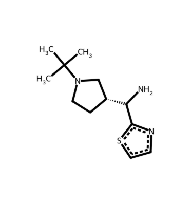 CC(C)(C)N1CC[C@@H](C(N)c2nccs2)C1